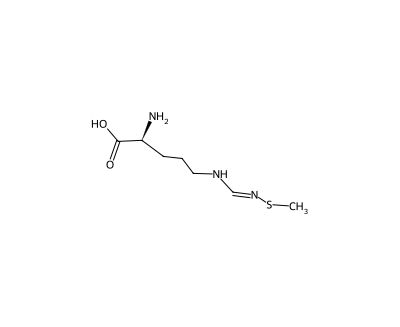 CSN=CNCCC[C@H](N)C(=O)O